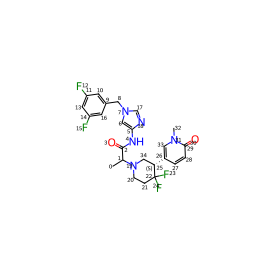 CC(C(=O)Nc1cn(Cc2cc(F)cc(F)c2)cn1)N1CCC(F)(F)[C@@H](c2ccc(=O)n(C)c2)C1